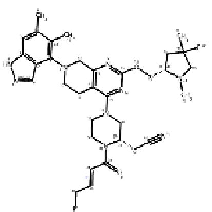 Cc1cc2[nH]ncc2c(N2CCc3c(nc(OC[C@@H]4CC(C)(F)CN4C)nc3N3CCN(C(=O)/C=C/CF)[C@@H](CC#N)C3)C2)c1C